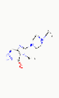 CN1CCN(c2nc3cn[nH]c(=O)c3n2C)CC1